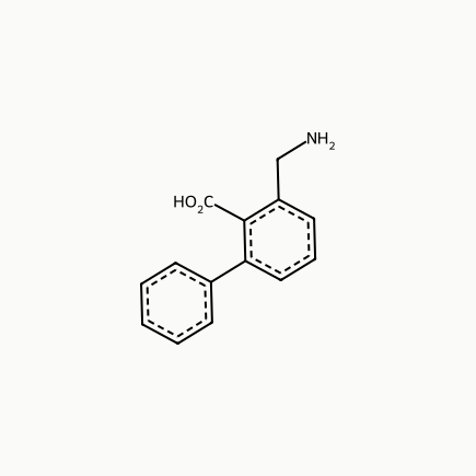 NCc1cccc(-c2ccccc2)c1C(=O)O